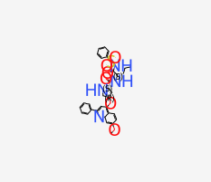 CCC[C@H](NC(=O)[C@@H]1C[C@@H](Oc2cc(-c3ccccc3)nc3cc(OC)ccc23)CN1)C(=O)NS(=O)(=O)c1ccccc1